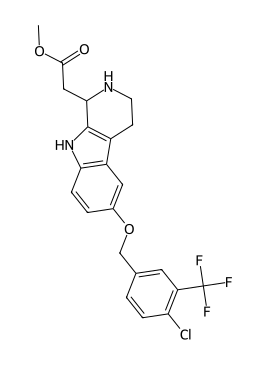 COC(=O)CC1NCCc2c1[nH]c1ccc(OCc3ccc(Cl)c(C(F)(F)F)c3)cc21